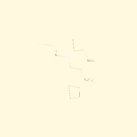 CC1CC(=O)C(C(=O)C2CCC2)CN1C(=O)OC(C)(C)C